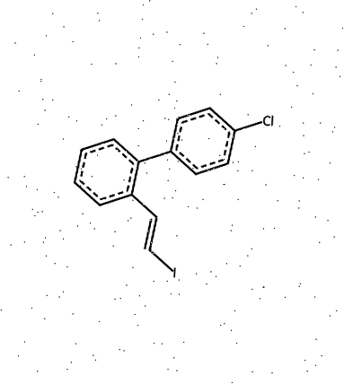 Clc1ccc(-c2ccccc2C=CI)cc1